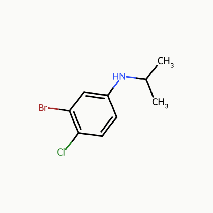 CC(C)Nc1ccc(Cl)c(Br)c1